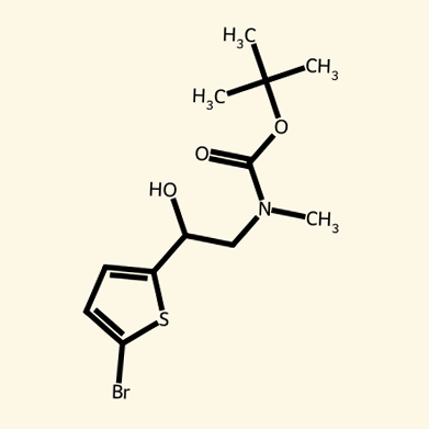 CN(CC(O)c1ccc(Br)s1)C(=O)OC(C)(C)C